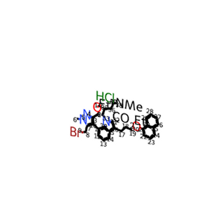 CCOCc1nn(C)c(CBr)c1-c1cccc2c(CCCOc3cccc4ccccc34)c(C(=O)OCC)n(CCCCNC)c12.Cl